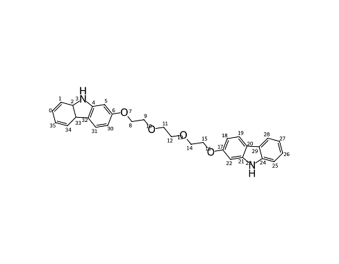 C1=CC2Nc3cc(OCCOCCOCCOc4ccc5c(c4)[nH]c4ccccc45)ccc3C2C=C1